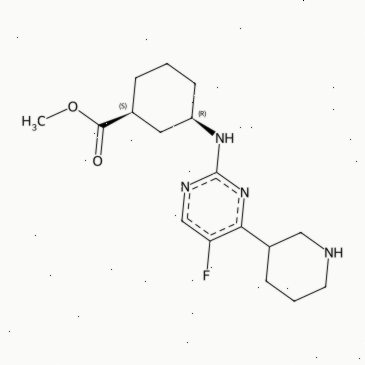 COC(=O)[C@H]1CCC[C@@H](Nc2ncc(F)c(C3CCCNC3)n2)C1